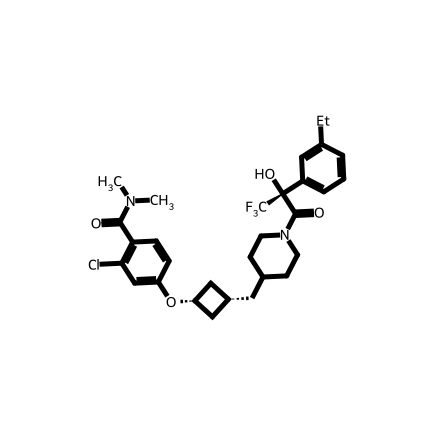 CCc1cccc([C@@](O)(C(=O)N2CCC(C[C@H]3C[C@@H](Oc4ccc(C(=O)N(C)C)c(Cl)c4)C3)CC2)C(F)(F)F)c1